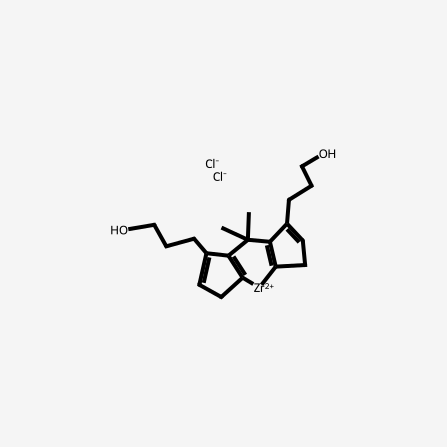 CC1(C)C2=[C](CC=C2CCCO)[Zr+2][C]2=C1C(CCCO)=CC2.[Cl-].[Cl-]